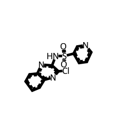 O=S(=O)(Nc1nc2ccccc2nc1Cl)c1cccnc1